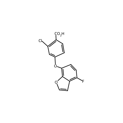 O=C(O)c1ccc(Oc2ccc(F)c3ccoc23)cc1Cl